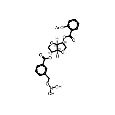 CC(=O)Oc1ccccc1C(=O)O[C@H]1CO[C@H]2[C@@H]1OC[C@H]2OC(=O)c1cccc(CON(O)O)c1